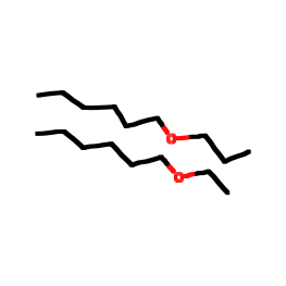 CCCCCCOCC.CCCCCCOCCC